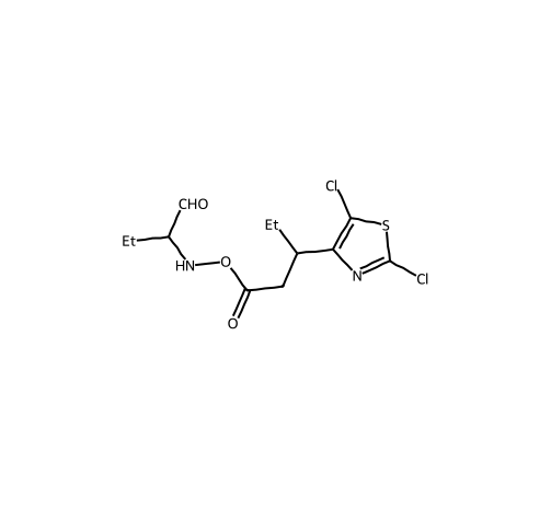 CCC(C=O)NOC(=O)CC(CC)c1nc(Cl)sc1Cl